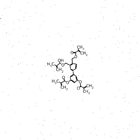 C=C(C)C(=O)OCc1ccc(-c2cc(OC(=O)C(=C)C)cc(OC(=O)C(=C)C)c2)cc1COC(O)C(=C)C